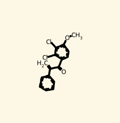 C=C(C(=O)c1ccc(OC)c(Cl)c1Cl)c1ccccc1